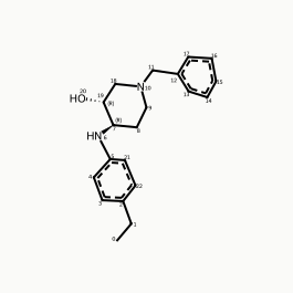 CCc1ccc(N[C@@H]2CCN(Cc3ccccc3)C[C@H]2O)cc1